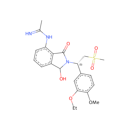 CCOc1cc([C@@H](CS(C)(=O)=O)N2C(=O)c3c(NC(C)=N)cccc3C2O)ccc1OC